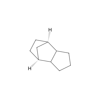 C1CC2C(C1)[C@H]1CC[C@@H]2C1